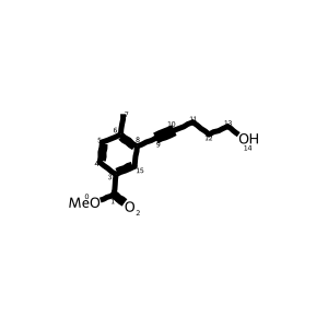 COC(=O)c1ccc(C)c(C#CCCCO)c1